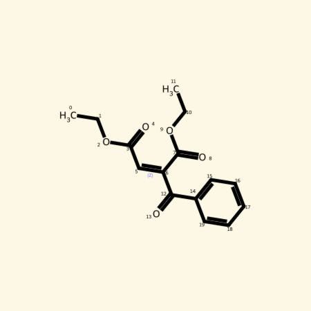 CCOC(=O)/C=C(\C(=O)OCC)C(=O)c1ccccc1